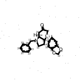 O=C1CC[C@@]2(c3ccc4c(c3)OCO4)CCN(Cc3ccccc3)[C@H]2C1